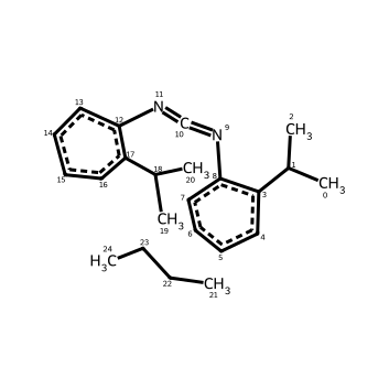 CC(C)c1ccccc1N=C=Nc1ccccc1C(C)C.CCCC